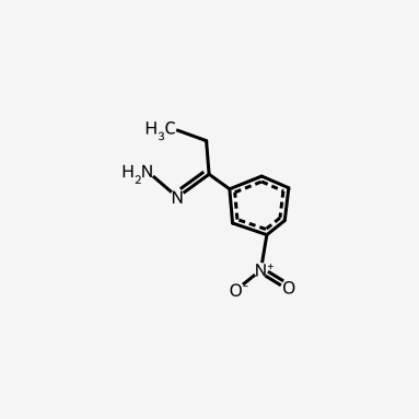 CCC(=NN)c1cccc([N+](=O)[O-])c1